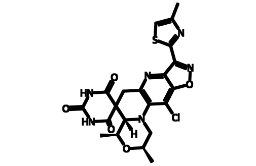 Cc1csc(-c2noc3c(Cl)c4c(nc23)CC2(C(=O)NC(=O)NC2=O)[C@H]2[C@H](C)O[C@H](C)CN42)n1